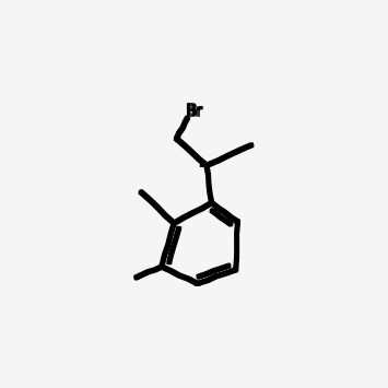 C[C](CBr)c1cccc(C)c1C